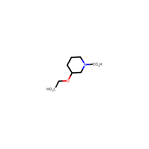 O=C(O)COC1CCCN(C(=O)O)C1